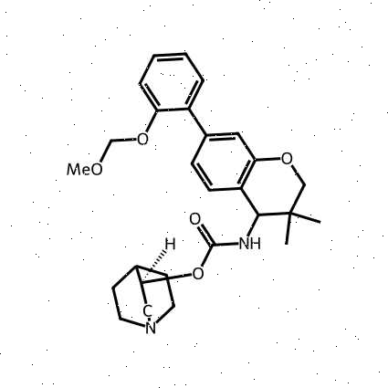 COCOc1ccccc1-c1ccc2c(c1)OCC(C)(C)C2NC(=O)O[C@H]1CN2CCC1CC2